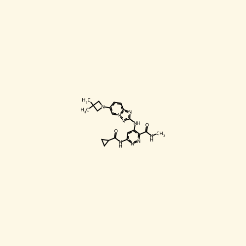 CNC(=O)c1nnc(NC(=O)C2CC2)cc1Nc1nc2ccc(N3CC(C)(C)C3)cn2n1